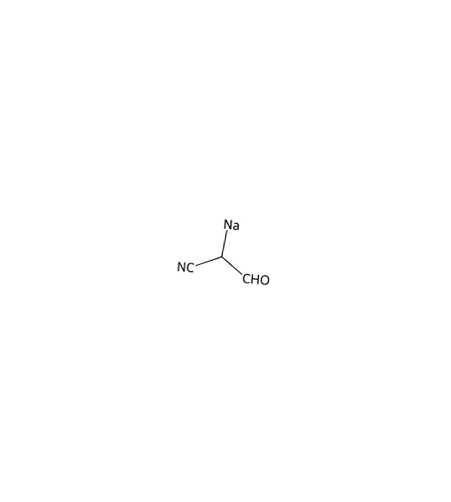 N#C[CH]([Na])C=O